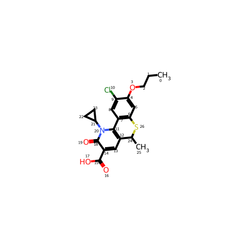 CCCOc1cc2c(cc1Cl)-c1c(cc(C(=O)O)c(=O)n1C1CC1)C(C)S2